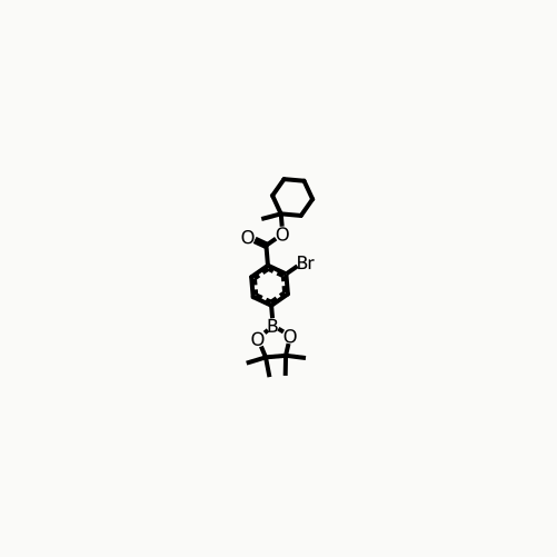 CC1(OC(=O)c2ccc(B3OC(C)(C)C(C)(C)O3)cc2Br)CCCCC1